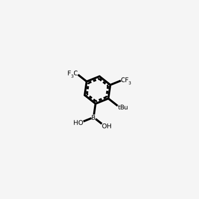 CC(C)(C)c1c(B(O)O)cc(C(F)(F)F)cc1C(F)(F)F